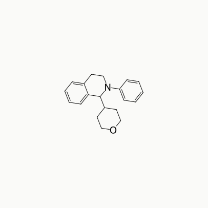 c1ccc(N2CCc3ccccc3C2C2CCOCC2)cc1